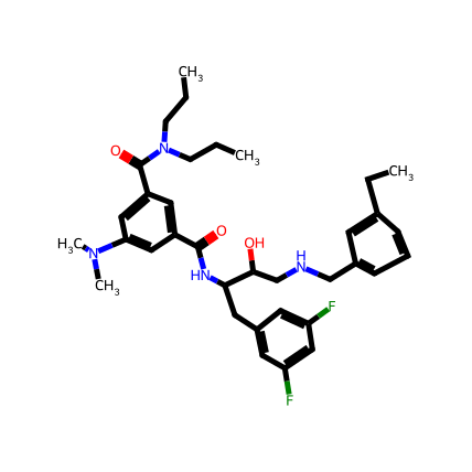 CCCN(CCC)C(=O)c1cc(C(=O)NC(Cc2cc(F)cc(F)c2)C(O)CNCc2cccc(CC)c2)cc(N(C)C)c1